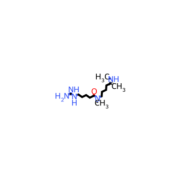 CN[C@H](C)CCCCN(C)C(=O)CCCCNC(=N)N